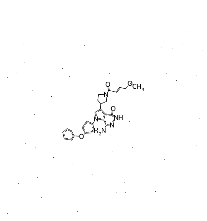 COC/C=C/C(=O)N1CCC(c2cn(-c3ccc(Oc4ccccc4)cc3)c3c(N)n[nH]c(=O)c23)C1